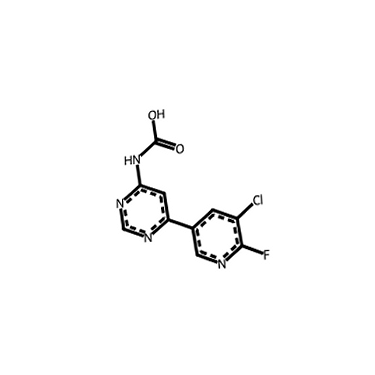 O=C(O)Nc1cc(-c2cnc(F)c(Cl)c2)ncn1